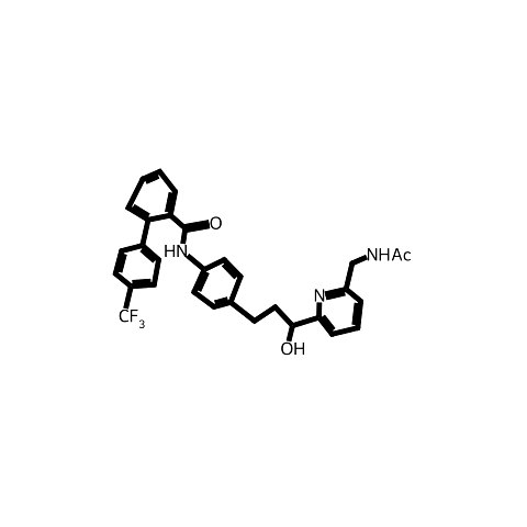 CC(=O)NCc1cccc(C(O)CCc2ccc(NC(=O)c3ccccc3-c3ccc(C(F)(F)F)cc3)cc2)n1